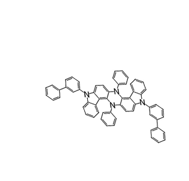 c1ccc(-c2cccc(-n3c4ccccc4c4c5c(ccc43)N(c3ccccc3)c3c(ccc4c3c3ccccc3n4-c3cccc(-c4ccccc4)c3)N5c3ccccc3)c2)cc1